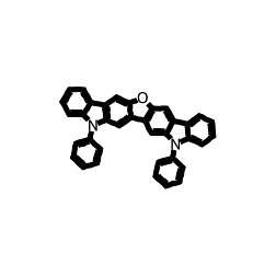 c1ccc(-n2c3ccccc3c3cc4oc5cc6c7ccccc7n(-c7ccccc7)c6cc5c4cc32)cc1